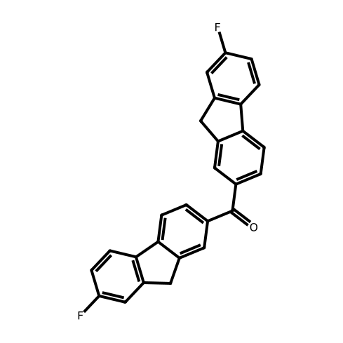 O=C(c1ccc2c(c1)Cc1cc(F)ccc1-2)c1ccc2c(c1)Cc1cc(F)ccc1-2